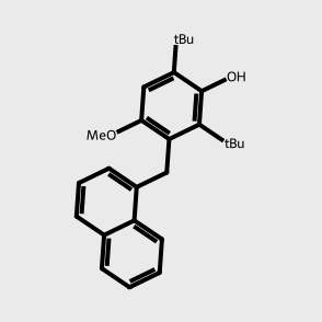 COc1cc(C(C)(C)C)c(O)c(C(C)(C)C)c1Cc1cccc2ccccc12